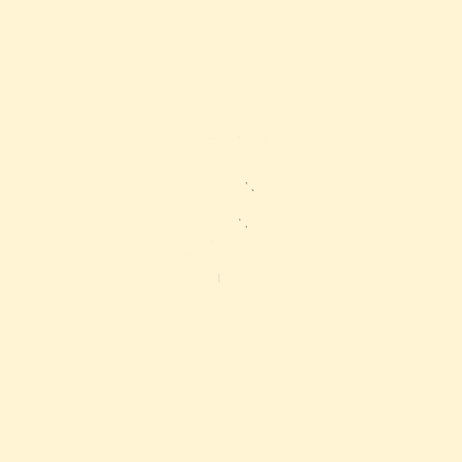 COC1=C[SH](c2ccccc2CN2CCN(c3cccc4ccccc34)CC2)C=C1